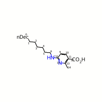 CCCCCCCCCCCCCCCCNc1ccc(C(=O)O)c(C)n1